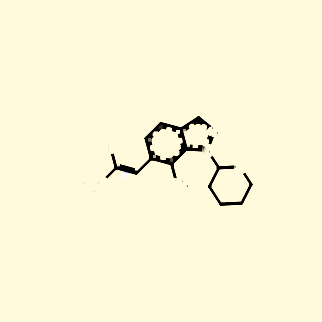 CCOC(=O)/C(F)=C/c1ccc2cnn(C3CCCCO3)c2c1C#N